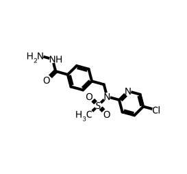 CS(=O)(=O)N(Cc1ccc(C(=O)NN)cc1)c1ccc(Cl)cn1